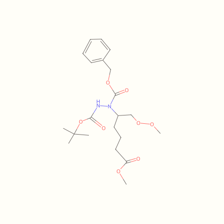 COOCC(CCCC(=O)OC)N(NC(=O)OC(C)(C)C)C(=O)OCc1ccccc1